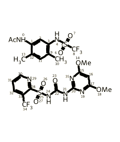 CC(=O)Nc1cc(NS(=O)(=O)C(F)(F)F)c(C)cc1C.COc1cc(OC)nc(NC(=O)NS(=O)(=O)c2ncccc2C(F)(F)F)n1